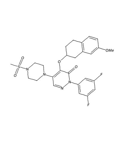 COc1ccc2c(c1)CC(Oc1c(N3CCN(S(C)(=O)=O)CC3)cnn(-c3cc(F)cc(F)c3)c1=O)CC2